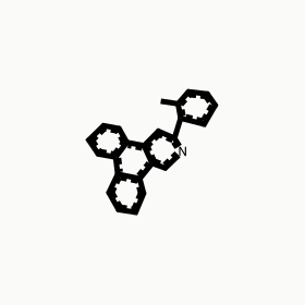 Cc1ccccc1-c1cc2c3ccccc3c3ccccc3c2cn1